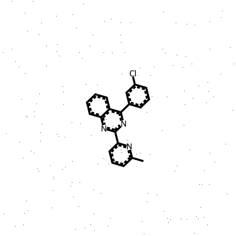 Cc1cccc(-c2nc(-c3cccc(Cl)c3)c3ccccc3n2)n1